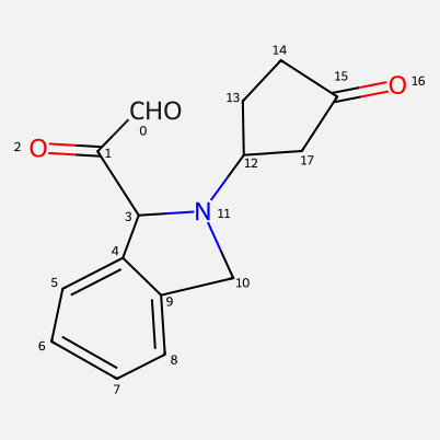 O=CC(=O)C1c2ccccc2CN1C1CCC(=O)C1